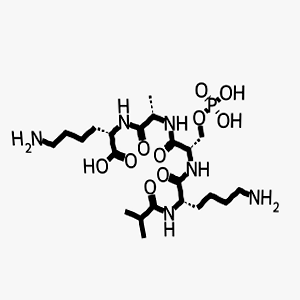 CC(C)C(=O)N[C@@H](CCCCN)C(=O)N[C@@H](COP(=O)(O)O)C(=O)N[C@@H](C)C(=O)N[C@@H](CCCCN)C(=O)O